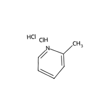 Cc1ccccn1.Cl.Cl